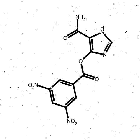 NC(=O)c1[nH]cnc1OC(=O)c1cc([N+](=O)[O-])cc([N+](=O)[O-])c1